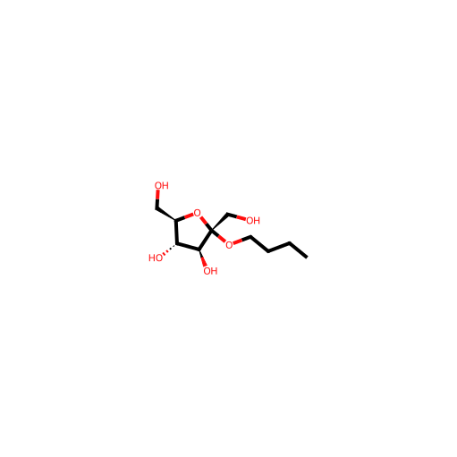 CCCCO[C@@]1(CO)O[C@H](CO)[C@@H](O)[C@@H]1O